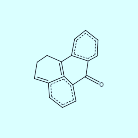 O=C1c2ccccc2C2=c3c1cccc3=CCC2